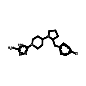 Nc1nnc(N2CCC(N3CCCC3Cc3ccc(Cl)cc3)CC2)[nH]1